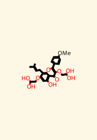 COc1ccc(-c2oc3c(CC=C(C)C)c(OCC(O)O)cc(O)c3c(=O)c2OCC(O)O)cc1